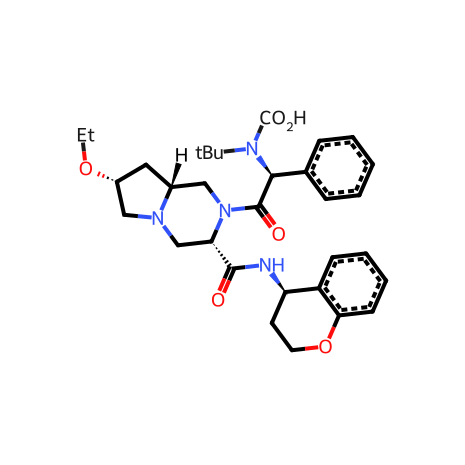 CCO[C@@H]1C[C@@H]2CN(C(=O)[C@H](c3ccccc3)N(C(=O)O)C(C)(C)C)[C@H](C(=O)N[C@@H]3CCOc4ccccc43)CN2C1